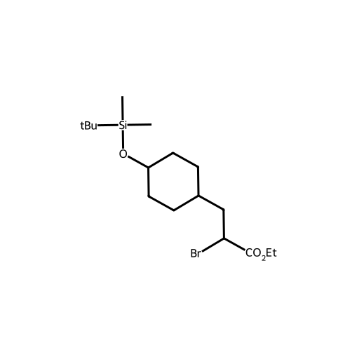 CCOC(=O)C(Br)CC1CCC(O[Si](C)(C)C(C)(C)C)CC1